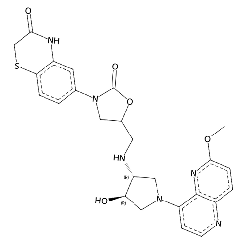 COc1ccc2nccc(N3C[C@@H](O)[C@H](NCC4CN(c5ccc6c(c5)NC(=O)CS6)C(=O)O4)C3)c2n1